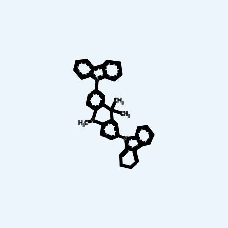 CN1c2ccc(-n3c4c(c5ccccc53)=CCCC=4)cc2C(C)(C)c2cc(-n3c4ccccc4c4ccccc43)ccc21